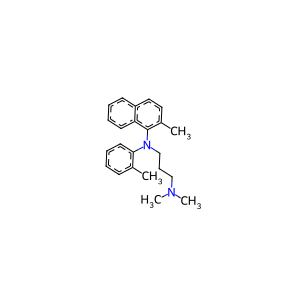 Cc1ccccc1N(CCCN(C)C)c1c(C)ccc2ccccc12